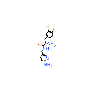 Nc1ccc(CNC(=O)C(N)Cc2ccc(F)c(F)c2)cn1